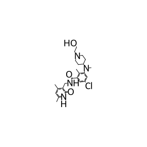 Cc1cc(C)c(CNC(=O)c2cc(Cl)cc(N(C)C3CCN(CCO)CC3)c2C)c(=O)[nH]1